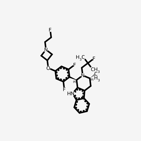 C[C@@H]1Cc2c([nH]c3ccccc23)[C@@H](c2c(F)cc(OC3CN(CCF)C3)cc2F)N1CC(C)(C)F